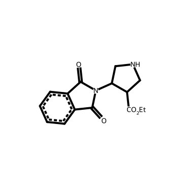 CCOC(=O)C1CNCC1N1C(=O)c2ccccc2C1=O